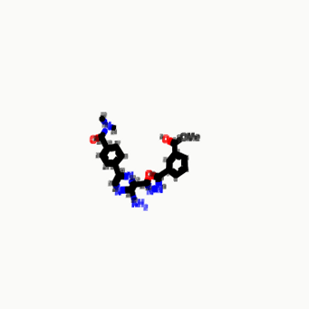 COC(=O)c1cccc(-c2nnc(-c3nc(-c4ccc(C(=O)N(C)C)cc4)cnc3N)o2)c1